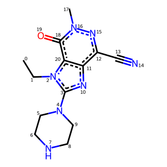 CCn1c(N2CCNCC2)nc2c(C#N)nn(C)c(=O)c21